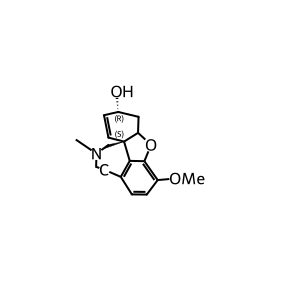 COc1ccc2c3c1OC1C[C@@H](O)C=C[C@@]31CN(C)CC2